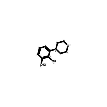 O=Cc1cccc(N2CCOCC2)c1O